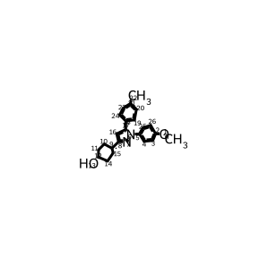 COc1ccc(-n2nc([C]3CCC(O)CC3)cc2-c2ccc(C)cc2)cc1